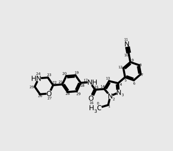 CCn1nc(-c2cccc(C#N)c2)cc1C(=O)Nc1ccc(C2CNCCO2)cc1